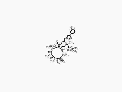 B[C@@H]1[C@@H](C)C(=O)[C@@H](C)C(=O)O[C@H](CC)[C@@]2(C)OC(=O)N(CCCCn3cc(-c4cccc(N)c4)nn3)[C@@H]2[C@@H](CCN[C@H](C)C(=O)OC(C)(C)C)NC[C@H](C)C[C@@]1(C)OC